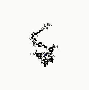 CCn1nc(C)cc1C(=O)Nc1nc2cc(C(N)=O)cc(OC)c2n1C/C=C/Cn1c(NC(=O)c2cc(C)nn2CC)nc2cc(C(N)=O)cc(OCCCN3CCC(c4nnc5n4CCN(C(=O)[C@H](CC(C)C)NC(=O)CCCCCONC(=O)OC(C)(C)C)C5)CC3)c21